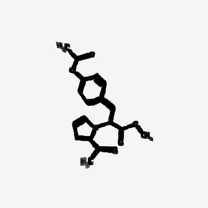 COC(=O)C(Cc1ccc(OC(C)=O)cc1)n1cccc1C(C)=O